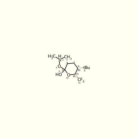 C[SiH](C)OC1(O)CC[C@H](C(C)(C)C)[C@H](C(F)(F)F)O1